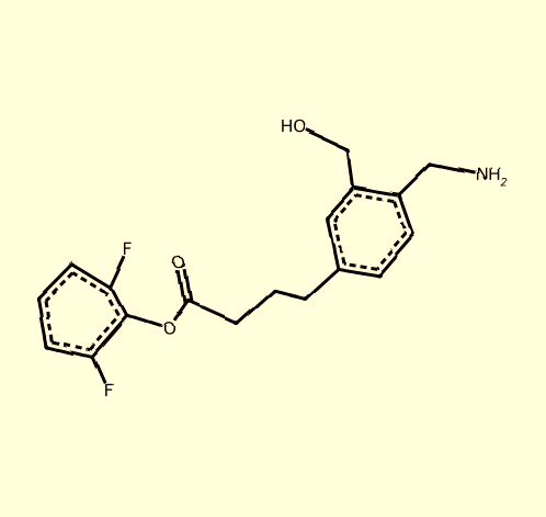 NCc1ccc(CCCC(=O)Oc2c(F)cccc2F)cc1CO